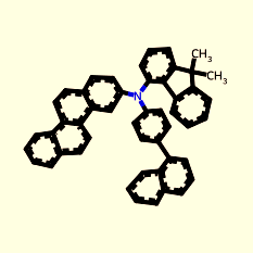 CC1(C)c2ccccc2-c2c(N(c3ccc(-c4cccc5ccccc45)cc3)c3ccc4ccc5c6ccccc6ccc5c4c3)cccc21